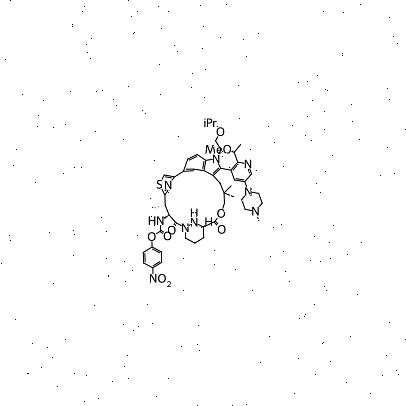 CO[C@@H](C)c1ncc(N2CCN(C)CC2)cc1-c1c2c3cc(ccc3n1CCOC(C)C)-c1csc(n1)[C@@H](C)[C@H](NC(=O)Oc1ccc([N+](=O)[O-])cc1)C(=O)N1CCC[C@H](N1)C(=O)OCC(C)(C)C2